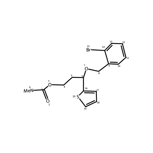 CNC(=O)OCCC(OCc1ccccc1Br)c1cccs1